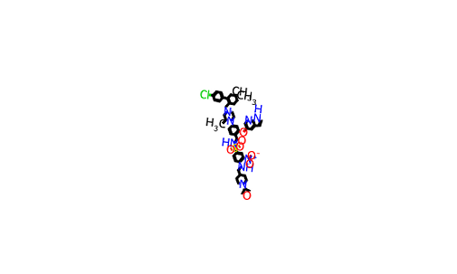 CC1CN(CC2=C(c3ccc(Cl)cc3)CC(C)(C)CC2)CCN1c1ccc(C(=O)NS(=O)(=O)c2ccc(NCC3CCN(C4COC4)CC3)c([N+](=O)[O-])c2)c(Oc2cnc3[nH]ccc3c2)c1